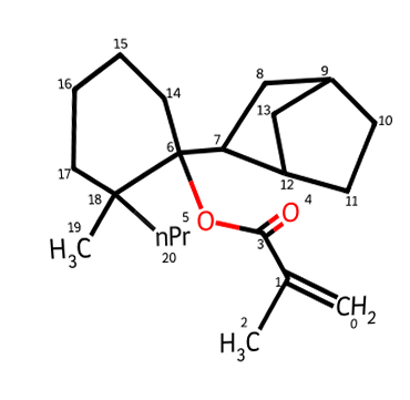 C=C(C)C(=O)OC1(C2CC3CCC2C3)CCCCC1(C)CCC